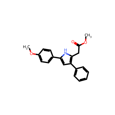 COC(=O)Cc1[nH]c(-c2ccc(OC)cc2)cc1-c1ccccc1